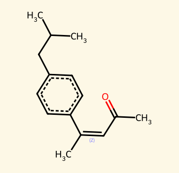 CC(=O)/C=C(/C)c1ccc(CC(C)C)cc1